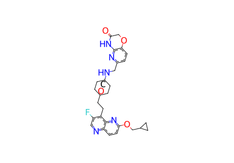 O=C1COc2ccc(CNC34CCC(CCc5c(F)cnc6ccc(OCC7CC7)nc56)(CC3)OC4)nc2N1